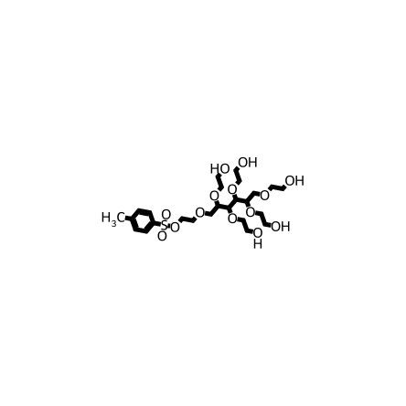 Cc1ccc(S(=O)(=O)OCCOCC(OCCO)C(OCCO)C(OCCO)C(COCCO)OCCO)cc1